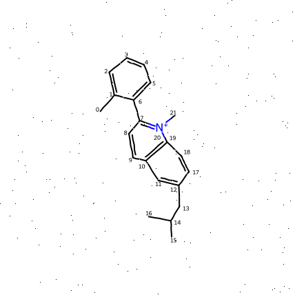 Cc1ccccc1-c1ccc2cc(CC(C)C)ccc2[n+]1C